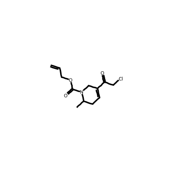 C=CCOC(=O)N1CC(C(=O)CCl)=CCC1C